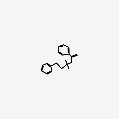 C=C(CC(C)(C)CCc1ccccc1)c1ccccc1